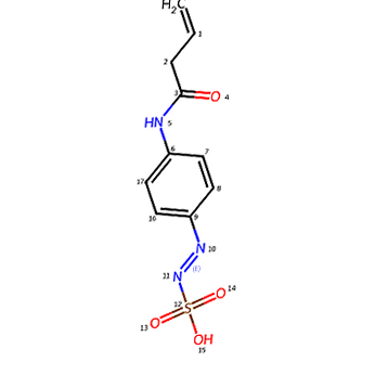 C=CCC(=O)Nc1ccc(/N=N/S(=O)(=O)O)cc1